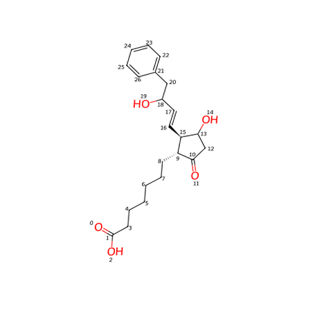 O=C(O)CCCCCC[C@H]1C(=O)CC(O)[C@@H]1/C=C/C(O)Cc1ccccc1